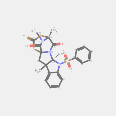 CN1C(=O)C23CC4(C)c5ccccc5N(S(=O)(=O)c5ccccc5)[C@@H]4N2C(=O)[C@@]1(C)SC(=S)S3